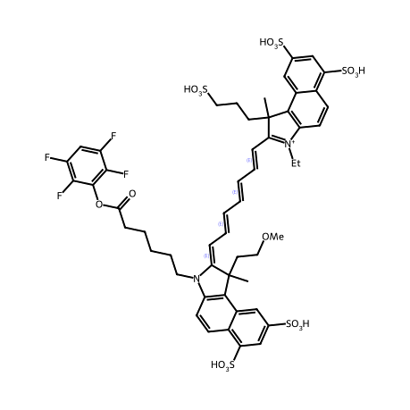 CC[N+]1=C(/C=C/C=C/C=C/C=C2/N(CCCCCC(=O)Oc3c(F)c(F)cc(F)c3F)c3ccc4c(S(=O)(=O)O)cc(S(=O)(=O)O)cc4c3C2(C)CCOC)C(C)(CCCS(=O)(=O)O)c2c1ccc1c(S(=O)(=O)O)cc(S(=O)(=O)O)cc21